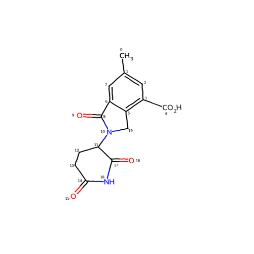 Cc1cc(C(=O)O)c2c(c1)C(=O)N(C1CCC(=O)NC1=O)C2